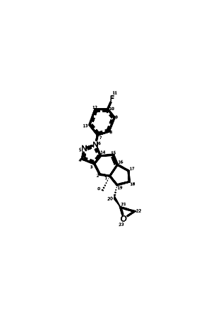 C[C@]12Cc3cnn(-c4ccc(F)cc4)c3C=C1CC[C@@H]2C[C@H]1CO1